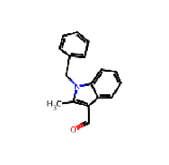 Cc1c(C=O)c2ccccc2n1Cc1ccccc1